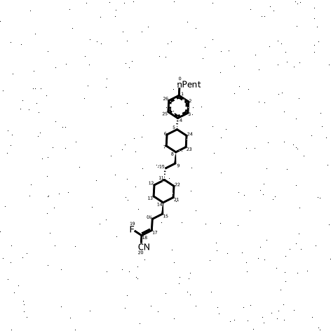 CCCCCc1ccc([C@H]2CC[C@H](CC[C@H]3CC[C@H](CC/C=C(\F)C#N)CC3)CC2)cc1